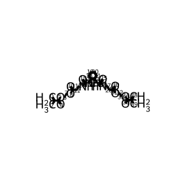 C=C(C)C(=O)OCCOC(=O)CCNC(=O)Nc1ccccc1NC(=O)NCCC(=O)OCCOC(=O)C(=C)C